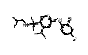 CC(C)CNC(C)(C)c1cnc(Nc2ccc(Cl)cc2Cl)cc1C(C)C